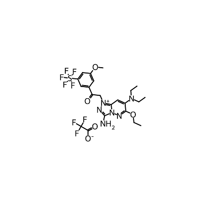 CCOc1nn2c(N)n[n+](CC(=O)c3cc(OC)cc(S(F)(F)(F)(F)F)c3)c2cc1N(CC)CC.O=C([O-])C(F)(F)F